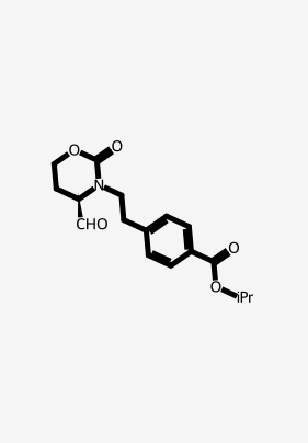 CC(C)OC(=O)c1ccc(CCN2C(=O)OCC[C@@H]2C=O)cc1